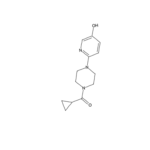 O=C(C1CC1)N1CCN(c2ccc(O)cn2)CC1